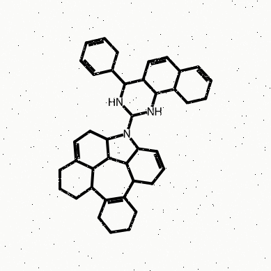 C1=CCC(C2NC(N3C4C=CCC5C6=C(CCCC6)C6CCCC7=CCC3C(C76)C54)NC3C2C=CC2C=CCCC23)C=C1